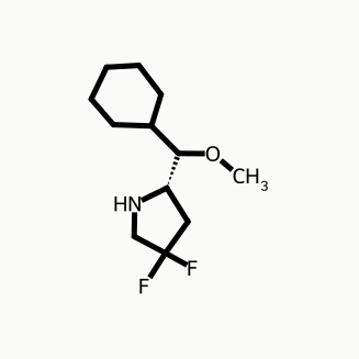 COC(C1CCCCC1)[C@@H]1CC(F)(F)CN1